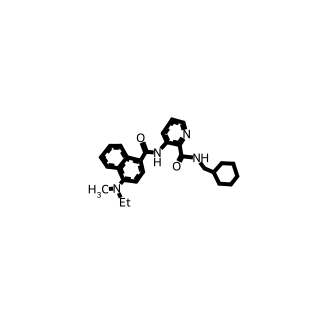 CCN(C)c1ccc(C(=O)Nc2cccnc2C(=O)NCC2CCCCC2)c2ccccc12